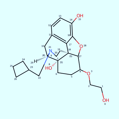 OCCOC1CC[C@@]2(O)[C@H]3Cc4ccc(O)c5c4[C@@]2(CCN3CC2CCC2)C1O5